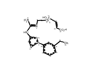 NC(=NCC(F)(F)F)Nc1cnn(-c2cccc(CO)c2)n1.O=C(O)C=CC(=O)O